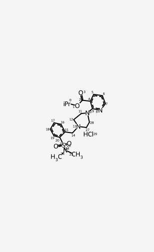 CC(C)OC(=O)c1cccnc1N1CCN(Cc2ccccc2S(=O)(=O)N(C)C)CC1.Cl